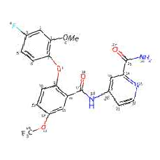 COc1cc(F)ccc1Oc1ccc(OC(F)(F)F)cc1C(=O)Nc1ccnc(C(N)=O)c1